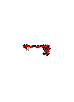 COc1cc2c(cc1OC(C)(C)C(C)(C)Oc1cc3c(cc1OC)C(=O)N1C=C(C)C[C@H]1[C@H](O)N3C(=O)OCc1ccc(NC(=O)[C@H](C)NC(=O)[C@@H](NC(=O)CCOCCOCCOCCOCCOCCOCCOCCOCCNC(=O)CCN3C(=O)C=CC3=O)C(C)C)cc1)N=C[C@@H]1CC(C)=CN1C2=O